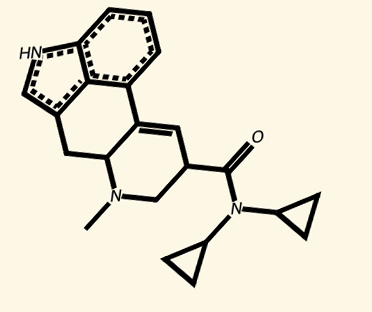 CN1CC(C(=O)N(C2CC2)C2CC2)C=C2c3cccc4[nH]cc(c34)CC21